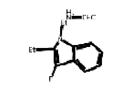 CCc1c(F)c2ccccc2n1CC.NC=O